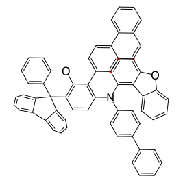 c1ccc(-c2ccc(N(c3ccc4c(c3-c3ccc5c(ccc6ccccc65)c3)Oc3ccccc3C43c4ccccc4-c4ccccc43)c3cccc4oc5ccccc5c34)cc2)cc1